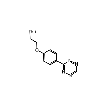 CC(C)(C)CCOc1ccc(-c2nncnn2)cc1